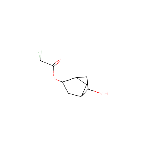 O=C(CCl)OC1CC2CC1CC2O